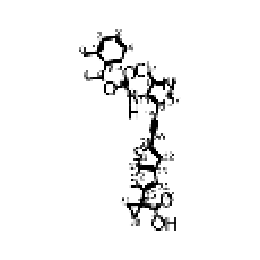 Cc1ccccc1C(C)OC(=O)Nc1c(Cl)nsc1C#Cc1cc2cc(C3(C(=O)O)CC3)sc2s1